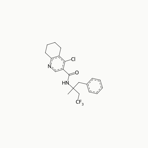 CC(Cc1ccccc1)(CC(F)(F)F)NC(=O)c1cnc2c(c1Cl)CCCC2